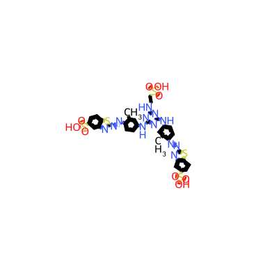 Cc1cc(Nc2nc(NCCS(=O)(=O)O)nc(Nc3ccc(/N=N/c4nc5cc(S(=O)(=O)O)ccc5s4)c(C)c3)n2)ccc1/N=N/c1nc2cc(S(=O)(=O)O)ccc2s1